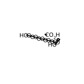 C=CC(=O)O.OCCOCCOCCOCCOCCOCCOCCOCCOCCOC(CO)Oc1ccccc1